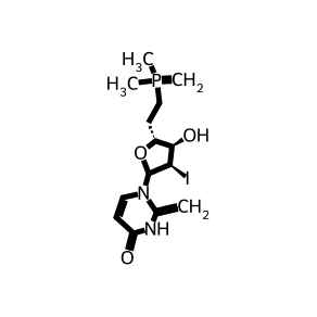 C=C1NC(=O)C=CN1C1O[C@H](CCP(=C)(C)C)[C@@H](O)[C@H]1I